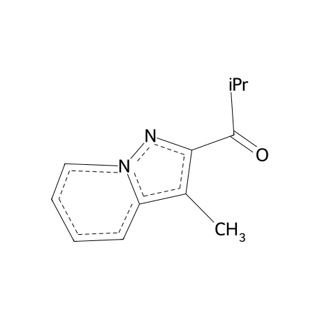 Cc1c(C(=O)C(C)C)nn2ccccc12